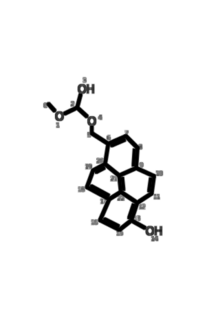 COC(O)OCc1ccc2ccc3c(O)ccc4ccc1c2c43